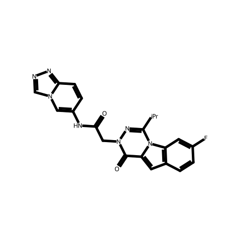 CC(C)c1nn(CC(=O)Nc2ccc3nncn3c2)c(=O)c2cc3ccc(F)cc3n12